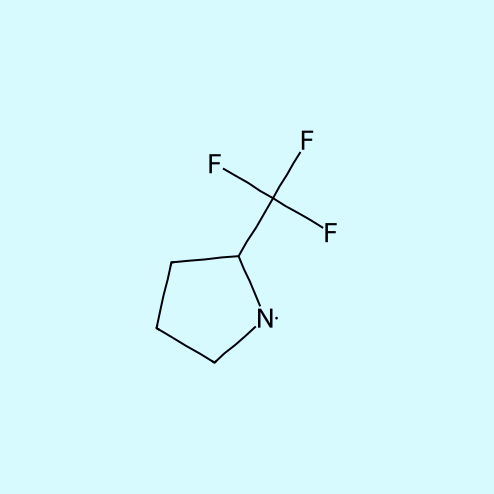 FC(F)(F)C1CCC[N]1